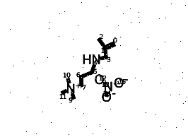 C=C(C)CNCCC[N+](C)(C)C.O=[N+]([O-])[O-]